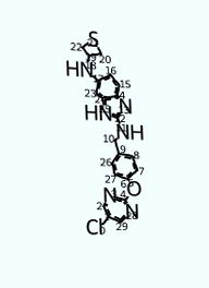 Clc1cnc(Oc2ccc(CNc3nc4ccc(NC5CSC5)cc4[nH]3)cc2)nc1